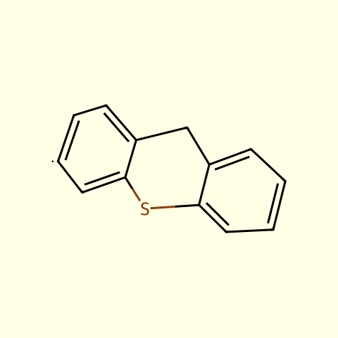 [c]1ccc2c(c1)Sc1ccccc1C2